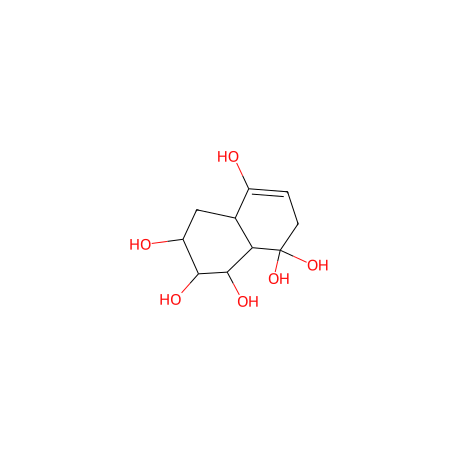 OC1=CCC(O)(O)C2C1CC(O)C(O)C2O